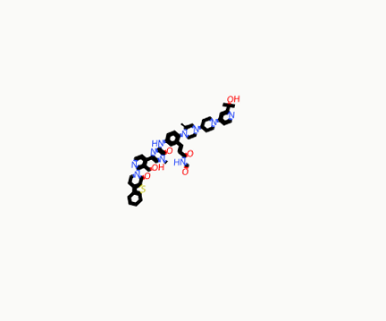 C[C@H]1CN(C2CCN(c3ccnc(C(C)(C)O)c3)CC2)CCN1c1ccc(Nc2nc(-c3ccnc(N4CCc5c(sc6c5CCCC6)C4=O)c3CO)cn(C)c2=O)cc1C=CC(=O)NC=O